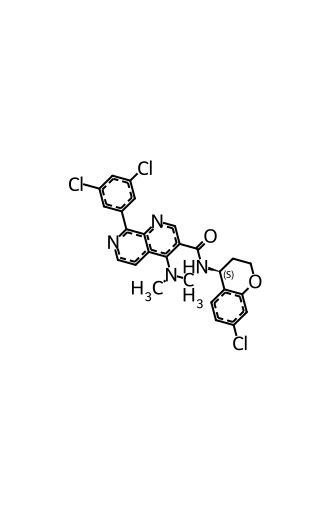 CN(C)c1c(C(=O)N[C@H]2CCOc3cc(Cl)ccc32)cnc2c(-c3cc(Cl)cc(Cl)c3)nccc12